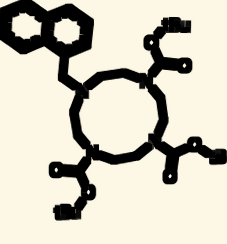 CC(C)(C)OC(=O)N1CCN(Cc2cccc3ccccc23)CCN(C(=O)OC(C)(C)C)CCN(C(=O)OC(C)(C)C)CC1